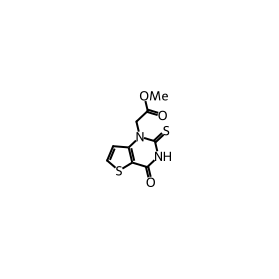 COC(=O)Cn1c(=S)[nH]c(=O)c2sccc21